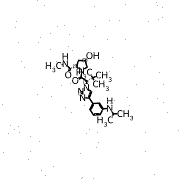 CNC(=O)[C@@H]1C[C@@H](O)CN1C(=O)[C@@H](n1cc(-c2cccc(NC(C)C)c2)nn1)C(C)(C)C